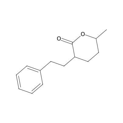 CC1CCC(CCc2ccccc2)C(=O)O1